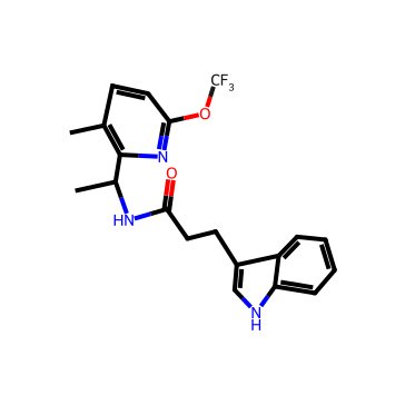 Cc1ccc(OC(F)(F)F)nc1C(C)NC(=O)CCc1c[nH]c2ccccc12